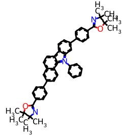 CC1(C)N=C(c2ccc(-c3ccc4c(ccc5c6ccc(-c7ccc(C8=NC(C)(C)C(C)(C)O8)cc7)cc6n(-c6ccccc6)c45)c3)cc2)OC1(C)C